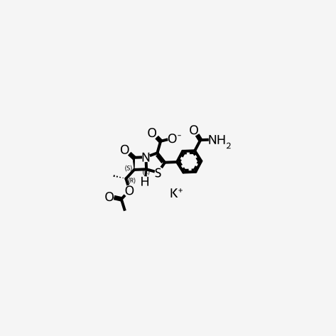 CC(=O)O[C@H](C)[C@H]1C(=O)N2C(C(=O)[O-])=C(c3cccc(C(N)=O)c3)S[C@H]12.[K+]